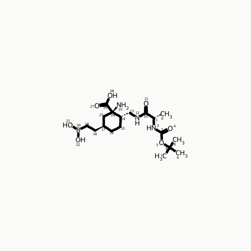 C[C@H](NC(=O)OC(C)(C)C)C(=O)NC[C@@H]1CC[C@@H](CCB(O)O)C[C@]1(N)C(=O)O